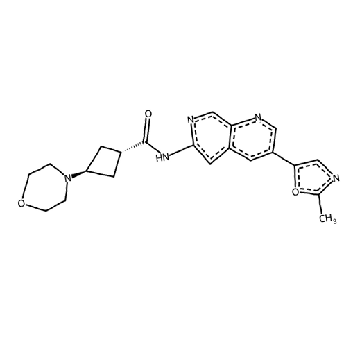 Cc1ncc(-c2cnc3cnc(NC(=O)[C@H]4C[C@H](N5CCOCC5)C4)cc3c2)o1